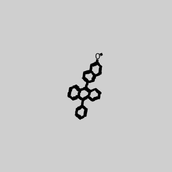 COc1ccc2cc(-c3c4ccccc4c(-c4ccccc4)c4ccccc34)ccc2c1